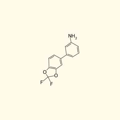 Nc1cccc(-c2ccc3c(c2)OC(F)(F)O3)c1